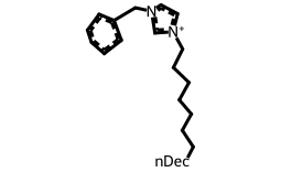 CCCCCCCCCCCCCCCCC[n+]1ccn(Cc2ccccc2)c1